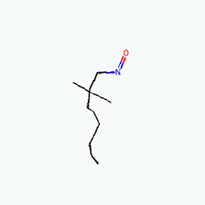 CCCCC(C)(C)CN=O